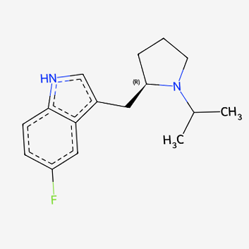 CC(C)N1CCC[C@@H]1Cc1c[nH]c2ccc(F)cc12